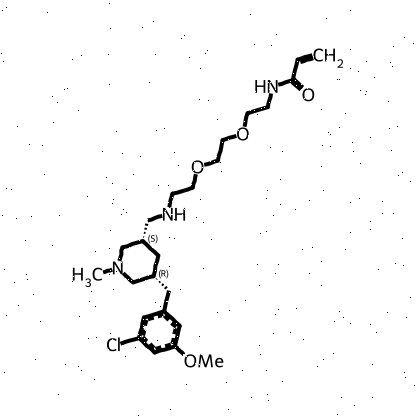 C=CC(=O)NCCOCCOCCNC[C@@H]1C[C@H](Cc2cc(Cl)cc(OC)c2)CN(C)C1